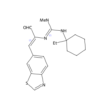 CCC1(N/C(=N/C(C=O)=C\c2ccc3ncsc3c2)NC)CCCCC1